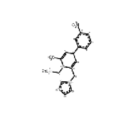 CCOC(=O)CN1C(C)=CC(c2cccc([N+](=O)[O-])c2)C=C1Cn1ccnc1